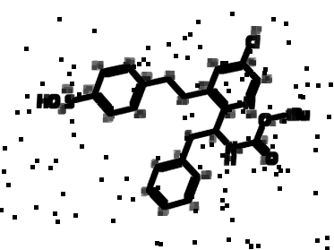 CC(C)(C)OC(=O)NC(Cc1ccccc1)c1ncc(Cl)cc1CCc1ccc(S(=O)(=O)O)cc1